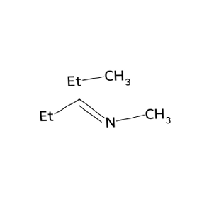 CCC.CCC=NC